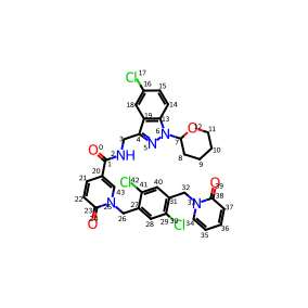 O=C(NCc1nn(C2CCCCO2)c2ccc(Cl)cc12)c1ccc(=O)n(Cc2cc(Cl)c(Cn3ccccc3=O)cc2Cl)c1